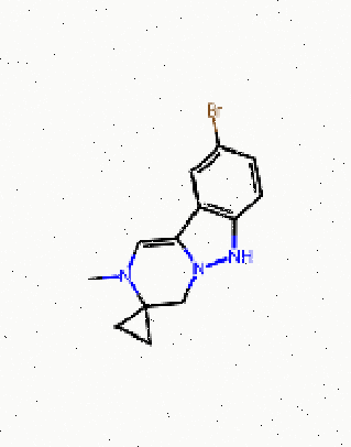 CN1C=C2c3cc(Br)ccc3NN2CC12CC2